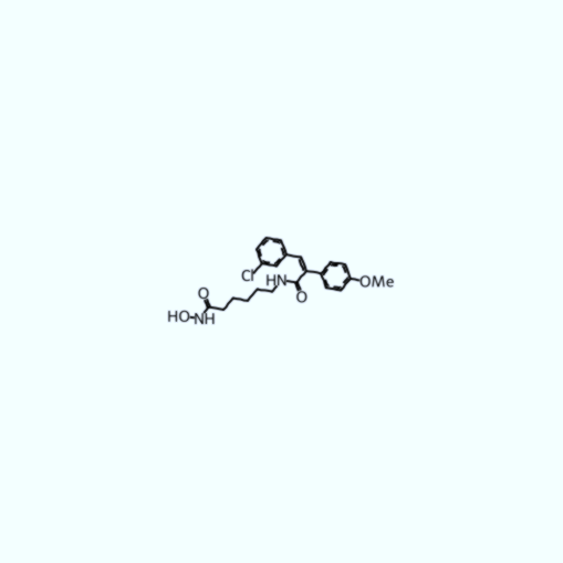 COc1ccc(C(=Cc2cccc(Cl)c2)C(=O)NCCCCCC(=O)NO)cc1